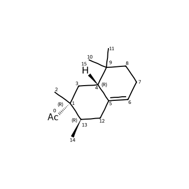 CC(=O)[C@]1(C)C[C@H]2C(=CCCC2(C)C)C[C@H]1C